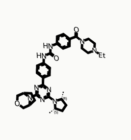 CCN1CCN(C(=O)c2ccc(NC(=O)Nc3ccc(-c4nc(N5C6CCC5COC6)nc(N5[C@H](C)CC[C@@H]5C)n4)cc3)cc2)CC1